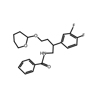 O=C(NCC(CCOC1CCCCO1)c1ccc(F)c(F)c1)c1ccccc1